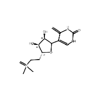 C=C1NC(=O)NC=C1C1O[C@H](CCP(=C)(C)C)[C@@H](O)[C@H]1O